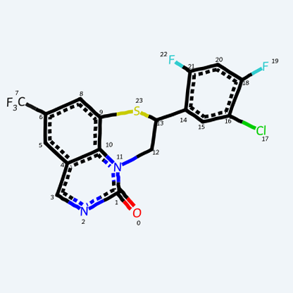 O=c1ncc2cc(C(F)(F)F)cc3c2n1CC(c1cc(Cl)c(F)cc1F)S3